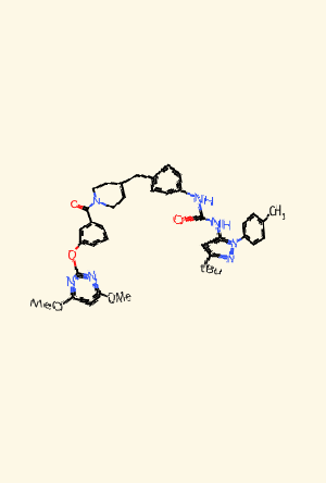 COc1cc(OC)nc(Oc2cccc(C(=O)N3CCC(Cc4ccc(NC(=O)Nc5cc(C(C)(C)C)nn5-c5ccc(C)cc5)cc4)CC3)c2)n1